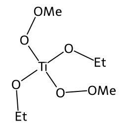 CC[O][Ti]([O]CC)([O]OC)[O]OC